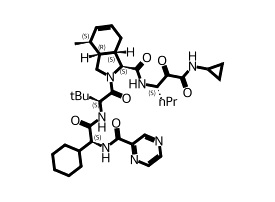 CCC[C@H](NC(=O)[C@@H]1[C@H]2CC=C[C@H](C)[C@H]2CN1C(=O)[C@@H](NC(=O)[C@@H](NC(=O)c1cnccn1)C1CCCCC1)C(C)(C)C)C(=O)C(=O)NC1CC1